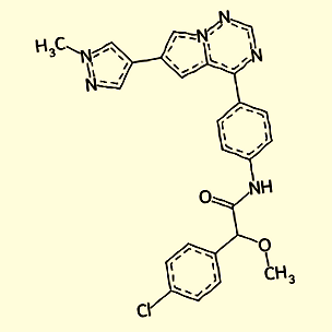 COC(C(=O)Nc1ccc(-c2ncnn3cc(-c4cnn(C)c4)cc23)cc1)c1ccc(Cl)cc1